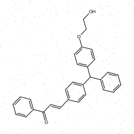 O=C(C=Cc1ccc(C(c2ccccc2)c2ccc(OCCO)cc2)cc1)c1ccccc1